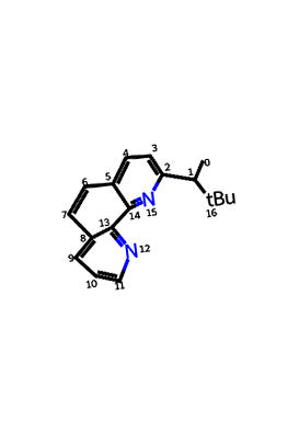 CC(c1ccc2ccc3cccnc3c2n1)C(C)(C)C